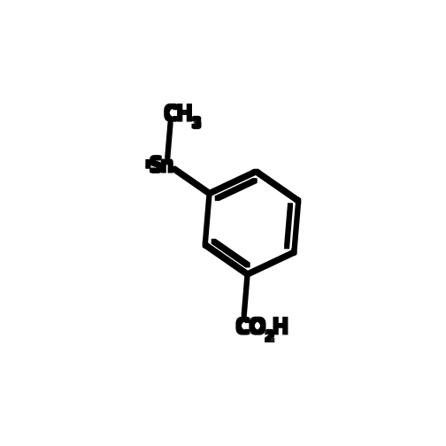 [CH3][Sn][c]1cccc(C(=O)O)c1